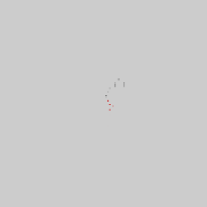 [CH2]CCC(OO)C(C)C